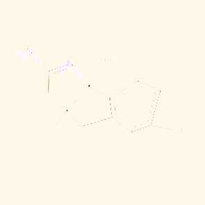 CC12Cc3cc(Cl)ccc3C1(O)N=C(N)S2